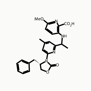 COc1ccc(NC(C)c2cc(C)cc(N3C(=O)OC[C@@H]3Cc3ccccc3)n2)c(C(=O)O)n1